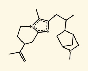 C=C(C)C1CCn2c(nc(CC(C)C3CC4CC3CN4C)c2C)C1